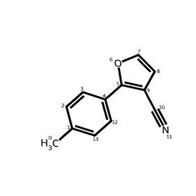 Cc1ccc(-c2occc2C#N)cc1